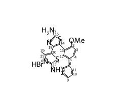 Br.COc1ccc(-c2ccccc2)cc1-c1sc(N)nc1-c1sc(N)nc1C